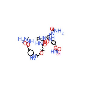 CB(I)NC(=O)OCc1ccc(NC(=O)[C@H](CCCNC(N)=O)NC(=O)C(NC(=O)CCC(C)(C)OCCC(C)(C)n2nnc3c2CCC2C(CC3)C2COC(=O)NC(C)N)C(C)C)cc1